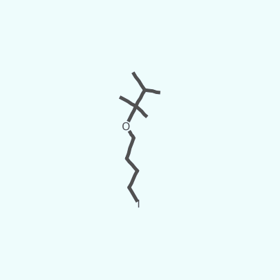 C[C](C)C(C)(C)OCCCCI